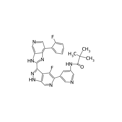 CC(C)(C)C(=O)Nc1cncc(-c2ncc3[nH]nc(-c4nc5c(-c6ccccc6F)cncc5[nH]4)c3c2F)c1